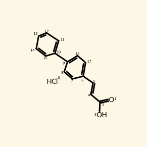 Cl.O=C(O)C=Cc1ccc(-c2ccccc2)cc1